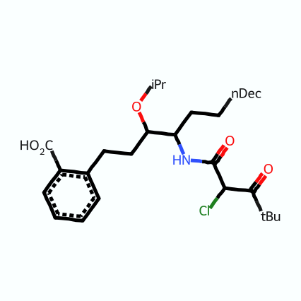 CCCCCCCCCCCCC(NC(=O)C(Cl)C(=O)C(C)(C)C)C(CCc1ccccc1C(=O)O)OC(C)C